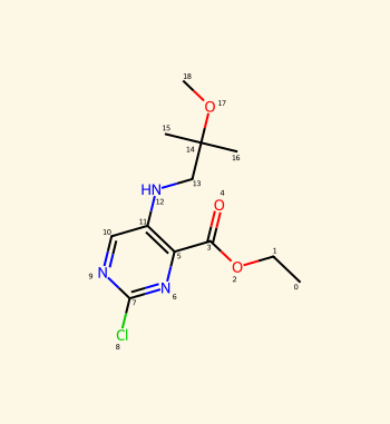 CCOC(=O)c1nc(Cl)ncc1NCC(C)(C)OC